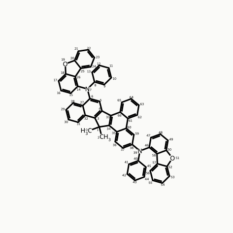 CC1(C)c2c(cc(N(c3ccccc3)c3cccc4oc5ccccc5c34)c3ccccc23)-c2c1c1ccc(N(c3ccccc3)c3cccc4oc5ccccc5c34)cc1c1ccccc21